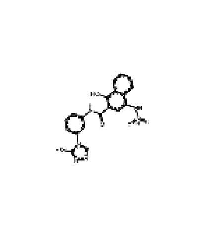 O=C(Nc1cccc(-n2cnnc2S)c1)c1cc(N[SH](=O)=O)c2ccccc2c1O